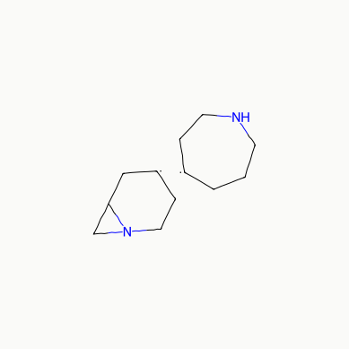 [CH]1CCCNCC1.[CH]1CCN2CC2C1